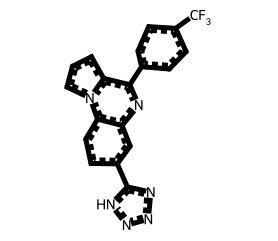 FC(F)(F)c1ccc(-c2nc3cc(-c4nnn[nH]4)ccc3n3cccc23)cc1